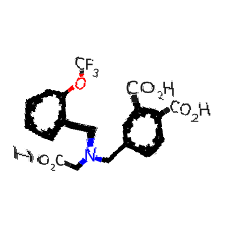 O=C(O)CN(Cc1ccc(C(=O)O)c(C(=O)O)c1)Cc1ccccc1OC(F)(F)F